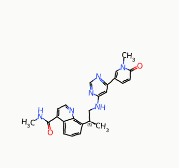 CNC(=O)c1ccnc2c([C@H](C)CNc3cc(-c4ccc(=O)n(C)c4)ncn3)cccc12